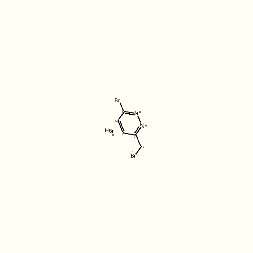 Br.BrCc1ccc(Br)nn1